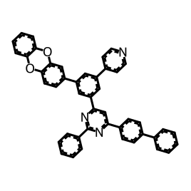 c1ccc(-c2ccc(-c3cc(-c4cc(-c5ccncc5)cc(-c5ccc6c(c5)Oc5ccccc5O6)c4)nc(-c4ccccc4)n3)cc2)cc1